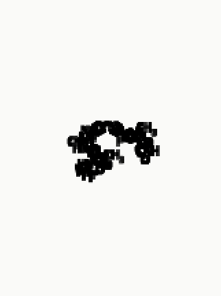 Cn1nc(C2CCC(=O)NC2=O)c2cc(F)c(N3CCN(CC4CCN(c5ncc(Cl)c(Nc6cc7c8c(c(=O)n(C)c7cc6F)OCC(F)(F)[C@H](C6CC6)N8)n5)CC4)CC3)cc21